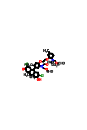 Cc1ccc(N(COC=O)CC(=O)O)c(OCCOc2cc(C(=O)O)c(C3=C4C=C(Cl)C(=O)C=C4C(C)(C)c4cc(O)c(Cl)cc43)cc2N(COC=O)COC=O)c1